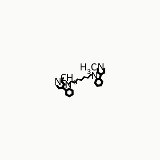 Cc1nccc2c3ccccc3n(CCCCCCCn3c4ccccc4c4ccnc(C)c43)c12